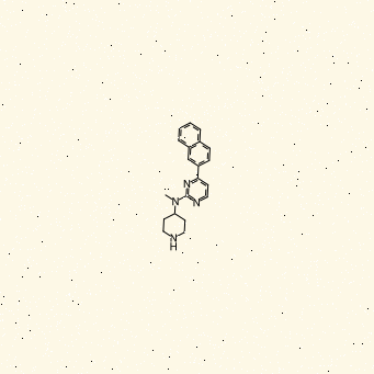 CN(c1nccc(-c2ccc3ccccc3c2)n1)C1CCNCC1